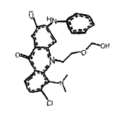 CN(C)c1c(Cl)ccc2c(=O)c3cc(Cl)c(Nc4ccccc4)cc3n(CCOCO)c12